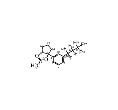 CC(=O)OC1(c2cccc(C(F)(F)C(F)(F)C(F)(F)F)c2)CCCC1